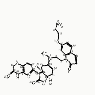 CN(CCn1c(=O)ccc2ccc(OCCN)cc21)[C@H]1CC[C@H]2OC(=O)N(c3ccc4c(n3)NC(=O)CO4)[C@@H]2C1